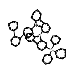 c1ccc(-c2ccccc2-c2ccc(-n3c4ccccc4c4cccc(-n5c6ccccc6c6ccc([Si](c7ccccc7)(c7ccccc7)c7ccccc7)cc65)c43)cc2)cc1